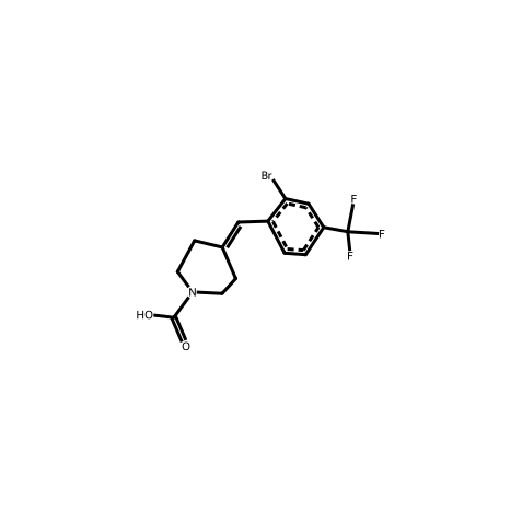 O=C(O)N1CCC(=Cc2ccc(C(F)(F)F)cc2Br)CC1